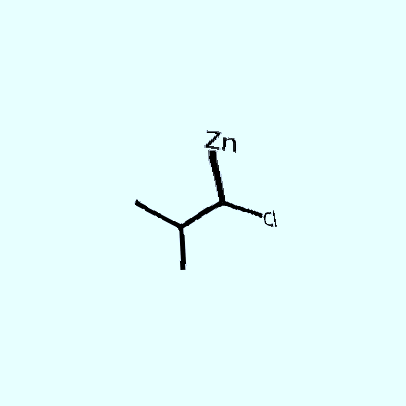 CC(C)[CH](Cl)[Zn]